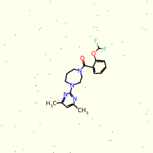 Cc1cc(C)nc(N2CCCN(C(=O)c3ccccc3OC(F)F)CC2)n1